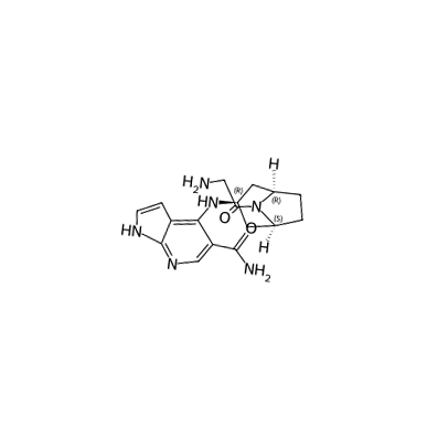 NCC(=O)N1[C@@H]2CC[C@H]1C[C@@H](Nc1c(C(N)=O)cnc3[nH]ccc13)C2